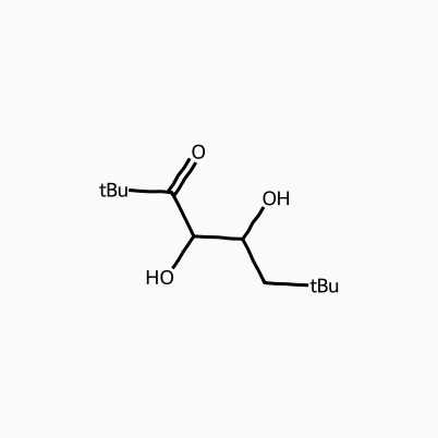 CC(C)(C)CC(O)C(O)C(=O)C(C)(C)C